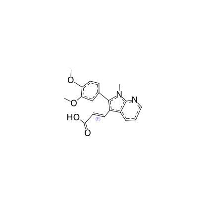 COc1ccc(-c2c(/C=C/C(=O)O)c3cccnc3n2C)cc1OC